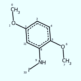 COc1ccc(OC)c(NI)c1